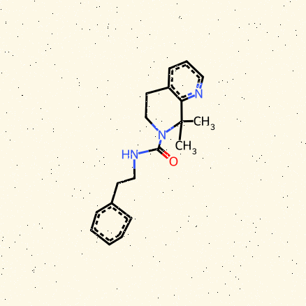 CC1(C)c2ncccc2CCN1C(=O)NCCc1ccccc1